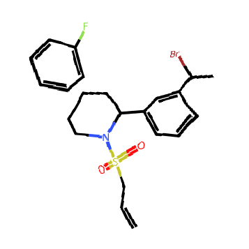 C=CCS(=O)(=O)N1CCCCC1c1cccc(C(C)Br)c1.Fc1ccccc1